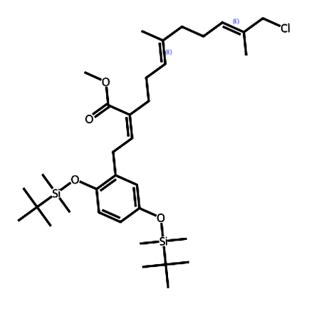 COC(=O)C(=CCc1cc(O[Si](C)(C)C(C)(C)C)ccc1O[Si](C)(C)C(C)(C)C)CC/C=C(\C)CC/C=C(\C)CCl